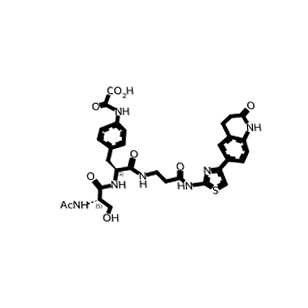 CC(=O)N[C@@H](CO)C(=O)N[C@@H](Cc1ccc(NC(=O)C(=O)O)cc1)C(=O)NCCC(=O)Nc1nc(-c2ccc3c(c2)CCC(=O)N3)cs1